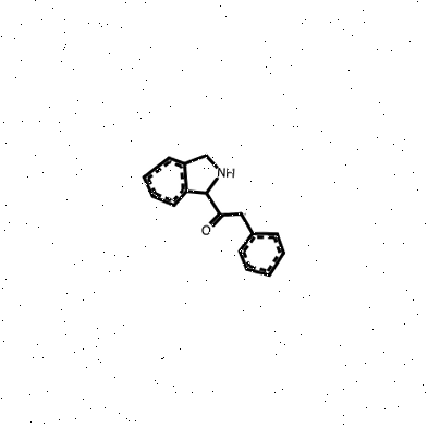 O=C([CH]c1ccccc1)C1NCc2ccccc21